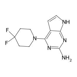 Nc1nc(N2CCC(F)(F)CC2)c2cc[nH]c2n1